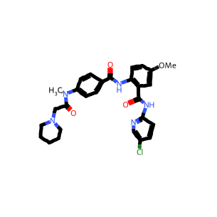 COc1ccc(NC(=O)c2ccc(N(C)C(=O)CN3CCCCC3)cc2)c(C(=O)Nc2ccc(Cl)cn2)c1